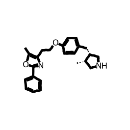 Cc1oc(-c2ccccc2)nc1CCOc1ccc(C[C@@H]2CNC[C@@H]2C)cc1